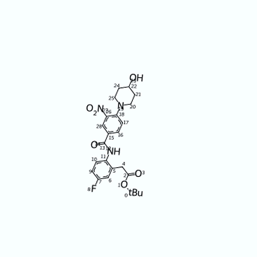 CC(C)(C)OC(=O)Cc1cc(F)ccc1NC(=O)c1ccc(N2CCC(O)CC2)c([N+](=O)[O-])c1